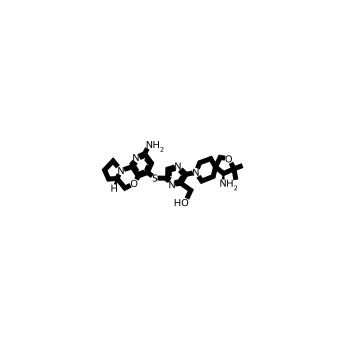 CC1(C)OCC2(CCN(c3ncc(Sc4cc(N)nc5c4OC[C@@H]4CCCN54)nc3CO)CC2)[C@@H]1N